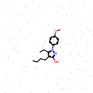 CCCCc1c(O)nn(-c2ccc(OC)cc2)c1CC